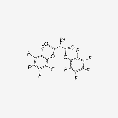 CCC(C(=O)Oc1c(F)c(F)c(F)c(F)c1F)C(=O)Oc1c(F)c(F)c(F)c(F)c1F